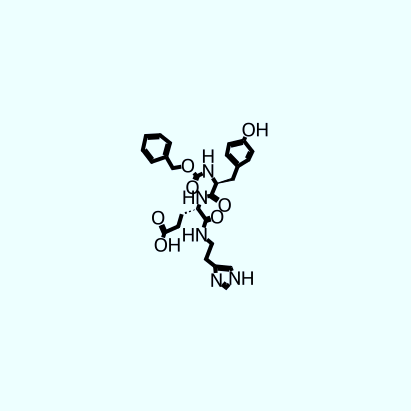 O=C(O)CC[C@H](NC(=O)[C@H](Cc1ccc(O)cc1)NC(=O)OCc1ccccc1)C(=O)NCCc1c[nH]cn1